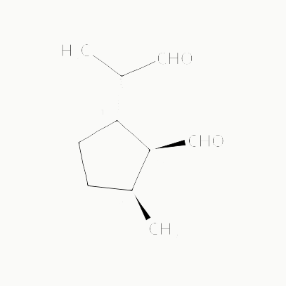 CC(C=O)[C@H]1CC[C@H](C)[C@@H]1C=O